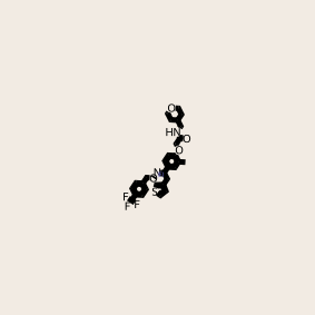 Cc1cc(/C(Cc2ccsc2)=N/OCc2ccc(C(F)(F)F)cc2)ccc1OCC(=O)NCC1CCOCC1